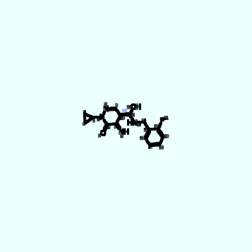 N=C1C(=O)N(C2CC2)N=C/C1=C(\O)NCc1ccccc1F